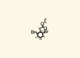 CCOC(=O)Cc1c(Br)cccc1Br